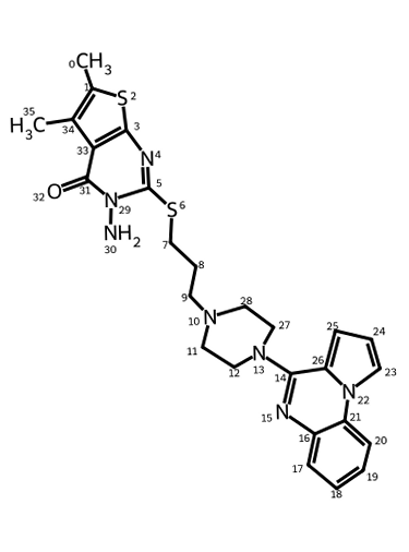 Cc1sc2nc(SCCCN3CCN(c4nc5ccccc5n5cccc45)CC3)n(N)c(=O)c2c1C